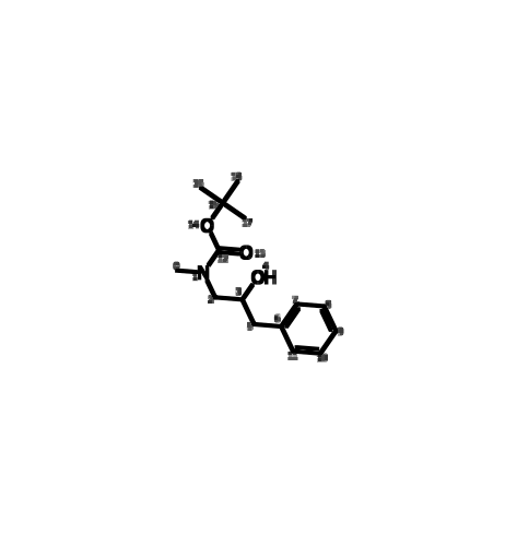 CN(CC(O)Cc1ccccc1)C(=O)OC(C)(C)C